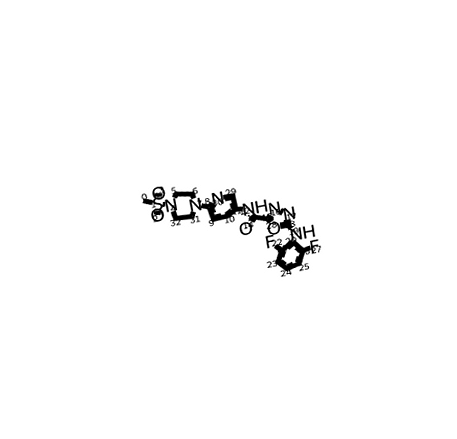 CS(=O)(=O)N1CCN(c2ccc(NC(=O)c3nnc(Nc4c(F)cccc4F)o3)cn2)CC1